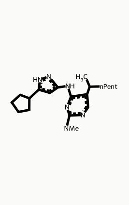 CCCCCC(C)c1cnc(NC)nc1Nc1cc(C2CCCC2)[nH]n1